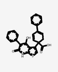 O=C(O)C1(c2csc3[nH]c(=O)c(-c4ccccc4)c(O)c23)C=CC(c2ccccc2)=CC1